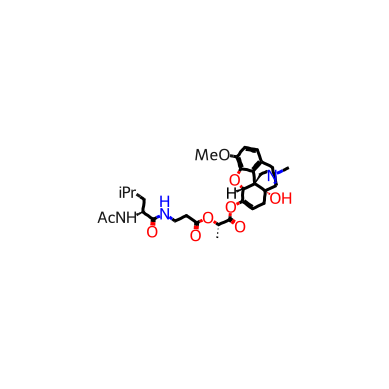 COc1ccc2c3c1O[C@H]1C(OC(=O)[C@H](C)OC(=O)CCNC(=O)[C@H](CC(C)C)NC(C)=O)=CC[C@]4(O)C(C2)N(C)CC[C@]314